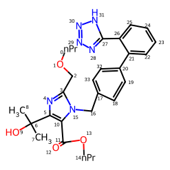 CCCOCc1nc(C(C)(C)O)c(C(=O)OCCC)n1Cc1ccc(-c2ccccc2-c2nnn[nH]2)cc1